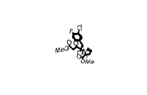 COC(=O)CC(=O)C(C)(Cc1ccc(F)c(Cl)c1)n1cccc1C(=O)OC